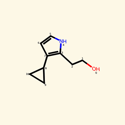 OCCc1[nH]ccc1C1CC1